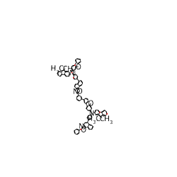 CC1(C)c2ccccc2-c2ccc(N(c3ccc(-c4cccc5c4ccc4nc(-c6cccc(-c7ccc8oc9cc(N(c%10ccc(-c%11cc%12nc(-c%13ccccc%13)oc%12c%12ccccc%11%12)cc%10)c%10ccc%11c(c%10)C(C)(C)c%10ccccc%10-%11)ccc9c8c7)c6)oc45)cc3)c3ccc4c(c3)oc3ccccc34)cc21